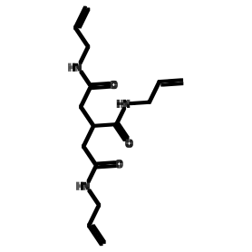 C=CCNC(=O)CC(CC(=O)NCC=C)C(=O)NCC=C